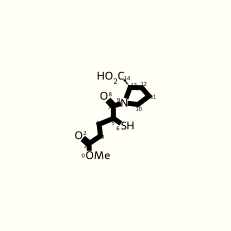 COC(=O)CCC(S)C(=O)N1CCC[C@H]1C(=O)O